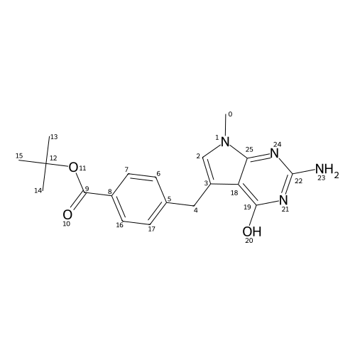 Cn1cc(Cc2ccc(C(=O)OC(C)(C)C)cc2)c2c(O)nc(N)nc21